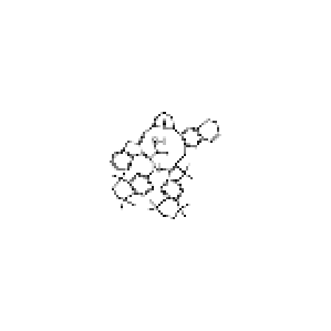 C=C(S)/C1=C2\C(=CC3=CCCC(=C3C)c3cc4c(cc3CC3=C(c5cc6c(cc5C3(C)C)C(C)(C)CCC6(C)C)N1c1ccc3c(c1)C(C)(C)CCC3(C)C)C=CCC4)Cc1ccccc12